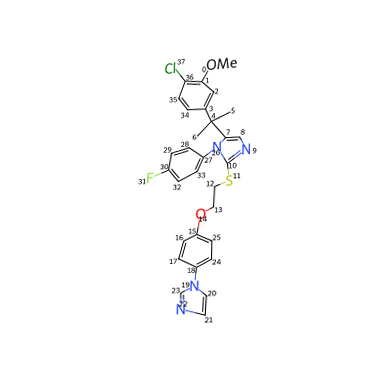 COc1cc(C(C)(C)c2cnc(SCCOc3ccc(-n4ccnc4)cc3)n2-c2ccc(F)cc2)ccc1Cl